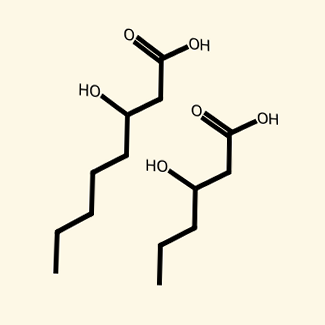 CCCC(O)CC(=O)O.CCCCCC(O)CC(=O)O